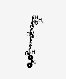 CCN(CCOCCOC(=O)NCCCOCCCNC(=O)c1ccc(C(=O)c2ccccc2)cc1)C(C)=O